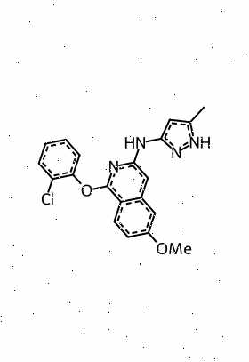 COc1ccc2c(Oc3ccccc3Cl)nc(Nc3cc(C)[nH]n3)cc2c1